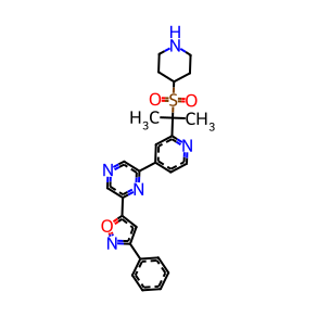 CC(C)(c1cc(-c2cncc(-c3cc(-c4ccccc4)no3)n2)ccn1)S(=O)(=O)C1CCNCC1